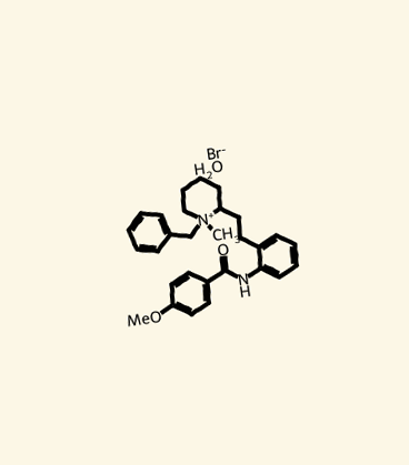 COc1ccc(C(=O)Nc2ccccc2CCC2CCCC[N+]2(C)Cc2ccccc2)cc1.O.[Br-]